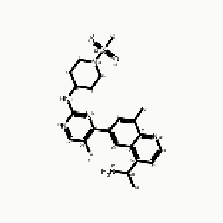 Cc1cc(-c2nc(NC3CCN(S(C)(=O)=O)CC3)ncc2F)cc2c(C(C)N)ccnc12